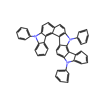 c1ccc(-n2c3ccccc3c3c4c(ccc32)ccc2c4c3ccc4c(c5ccccc5n4-c4ccccc4)c3n2-c2ccccc2)cc1